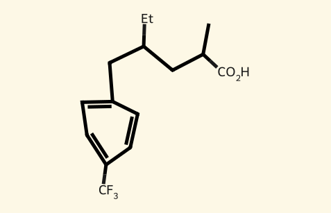 CCC(Cc1ccc(C(F)(F)F)cc1)CC(C)C(=O)O